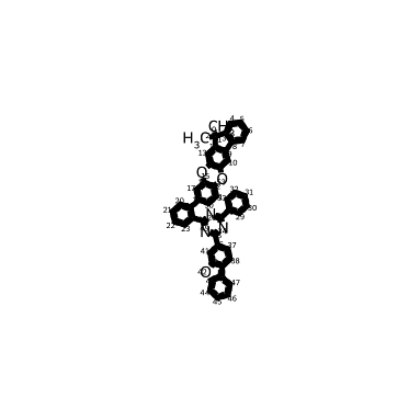 CC1(C)c2ccccc2-c2cc3c(cc21)Oc1cc(-c2ccccc2-c2nc(-c4ccccc4)nc(-c4ccc5c(c4)oc4ccccc45)n2)ccc1O3